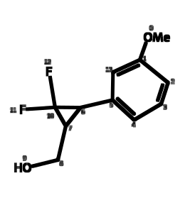 COc1cccc(C2C(CO)C2(F)F)c1